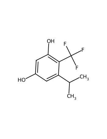 CC(C)c1cc(O)cc(O)c1C(F)(F)F